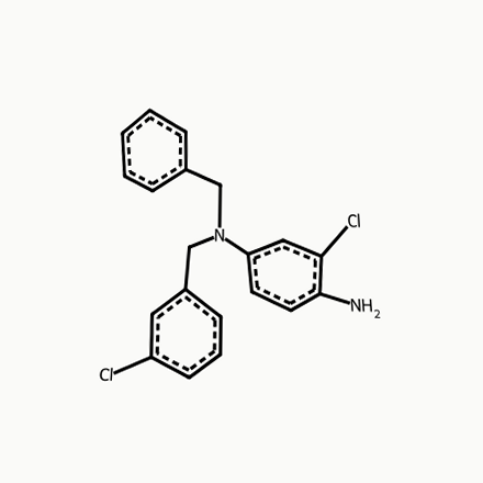 Nc1ccc(N(Cc2ccccc2)Cc2cccc(Cl)c2)cc1Cl